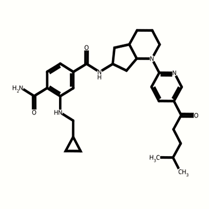 CC(C)CCC(=O)c1ccc(N2CCCC3CC(NC(=O)c4ccc(C(N)=O)c(NCC5CC5)c4)CC32)nc1